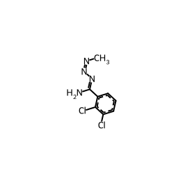 C/N=N\N=C(/N)c1cccc(Cl)c1Cl